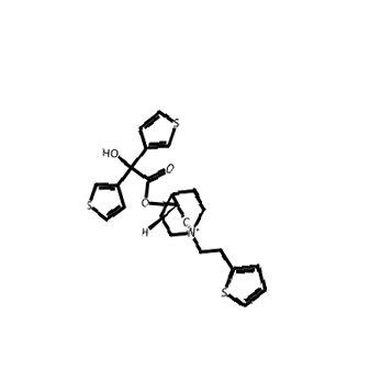 O=C(O[C@H]1C[N+]2(CCc3cccs3)CCC1CC2)C(O)(c1ccsc1)c1ccsc1